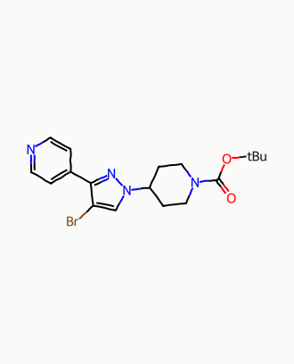 CC(C)(C)OC(=O)N1CCC(n2cc(Br)c(-c3ccncc3)n2)CC1